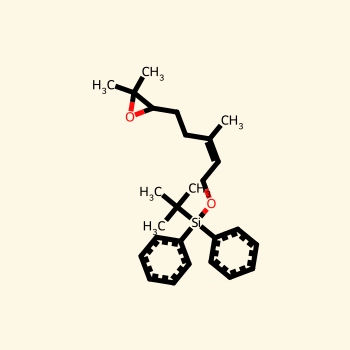 C/C(=C/CO[Si](c1ccccc1)(c1ccccc1)C(C)(C)C)CCC1OC1(C)C